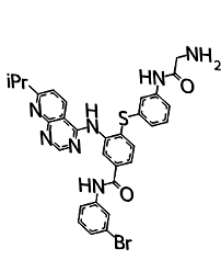 CC(C)c1ccc2c(Nc3cc(C(=O)Nc4cccc(Br)c4)ccc3Sc3cccc(NC(=O)CN)c3)ncnc2n1